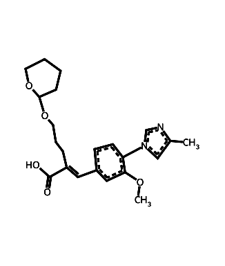 COc1cc(/C=C(\CCCOC2CCCCO2)C(=O)O)ccc1-n1cnc(C)c1